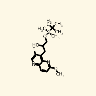 COc1ccc2ncc(F)c(CC(O)CO[Si](C)(C)C(C)(C)C)c2n1